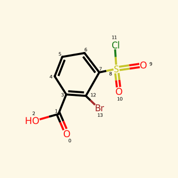 O=C(O)c1cccc(S(=O)(=O)Cl)c1Br